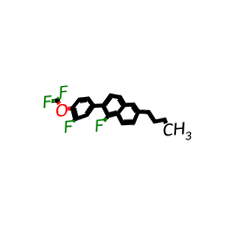 CCCCc1ccc2c(F)c(-c3ccc(OC(F)F)c(F)c3)ccc2c1